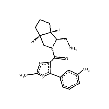 Cc1cccc(-c2sc(C)nc2C(=O)N2C[C@@H]3CCC[C@@H]3[C@H]2CN)c1